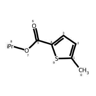 Cc1ccc(C(=O)OC(C)C)s1